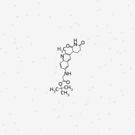 Cc1nc2ccc(NCC(=O)OC(C)(C)C)cc2cc1C1CCC(=O)NC1=O